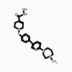 CN1CCCN(c2ccc(-c3ccc(SN4CC=C(C(=O)NO)CC4)cc3)cn2)CC1